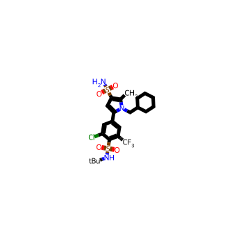 Cc1c(S(N)(=O)=O)cc(-c2cc(Cl)c(S(=O)(=O)NC(C)(C)C)c(C(F)(F)F)c2)n1CC1CCCCC1